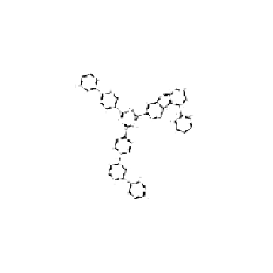 c1ccc(-c2ccc(-c3nc(-c4ccc(-c5cccc(-c6ccccc6)c5)cc4)nc(-c4ccc5c(c4)oc4cccc(-c6ccccc6)c45)n3)cc2)cc1